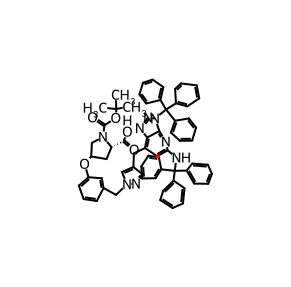 CC(C)(C)OC(=O)N1C[C@H](Oc2cccc(Cn3cc(Cc4cc(NC(c5ccccc5)(c5ccccc5)c5ccccc5)nc5c4nnn5C(c4ccccc4)(c4ccccc4)c4ccccc4)cn3)c2)C[C@H]1C(=O)O